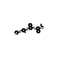 CCC(C)Nc1ccc(/N=N/c2ccc(/N=N/c3ccc(/N=N/c4cccnc4)cc3C)c3ccccc23)c2ccccc12